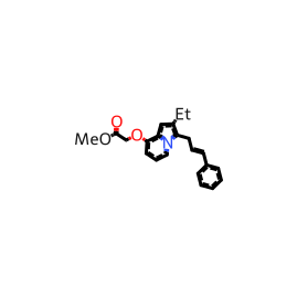 CCc1cc2c(OCC(=O)OC)cccn2c1CC=Cc1ccccc1